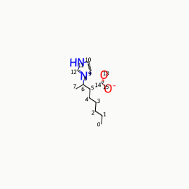 CCCCCCC(C)[n+]1cc[nH]c1.O=C[O-]